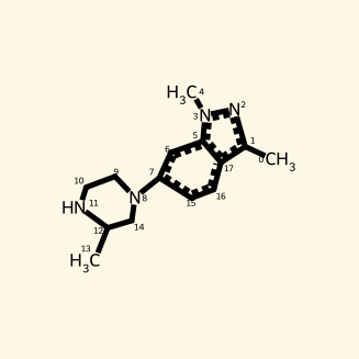 Cc1nn(C)c2cc(N3CCNC(C)C3)ccc12